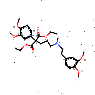 CCOC(=O)C(CCCN(C)CCc1ccc(OC)c(OC)c1)(C(=O)OCC)c1ccc(OC)c(OC)c1